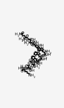 CC(C)C[C@H](N)C(=O)O.CC[C@H](C)[C@H](N)C(=O)O.CC[C@H](C)[C@H](N)C(=O)O.NC(=O)CC[C@H](N)C(=O)O.NCCCC[C@H](N)C(=O)O.N[C@@H](Cc1c[nH]c2ccccc12)C(=O)O.N[C@@H](Cc1c[nH]c2ccccc12)C(=O)O.N[C@@H](Cc1ccccc1)C(=O)O.O=C(O)[C@@H]1CCCN1